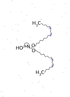 CCCCC/C=C\C/C=C\CCCCCCCCOC(CN1CCC[C@H]1CO)OCCCCCCCC/C=C\C/C=C\CCCCC